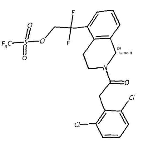 C[C@H]1c2cccc(C(F)(F)COS(=O)(=O)C(F)(F)F)c2CCN1C(=O)Cc1c(Cl)cccc1Cl